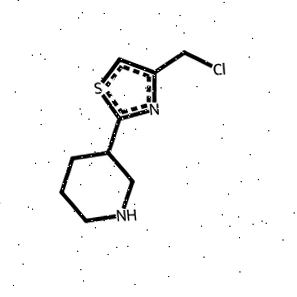 ClCc1csc(C2CCCNC2)n1